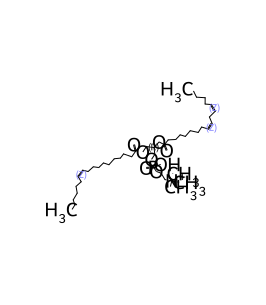 CCCCC/C=C\C/C=C\CCCCCCCC(=O)O[C@H](COC(=O)CCCCCCCCC/C=C\CCCCCC)COP(=O)(O)OCC[N+](C)(C)C